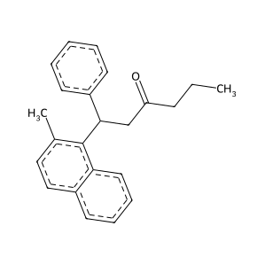 CCCC(=O)CC(c1ccccc1)c1c(C)ccc2ccccc12